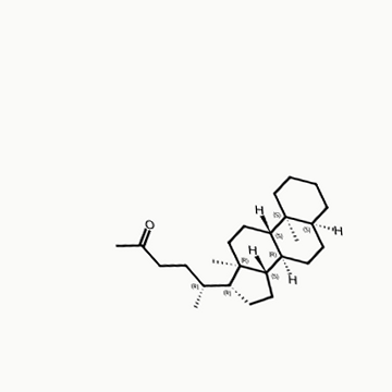 CC(=O)CC[C@@H](C)[C@H]1CC[C@H]2[C@@H]3CC[C@@H]4CCCC[C@]4(C)[C@H]3CC[C@]12C